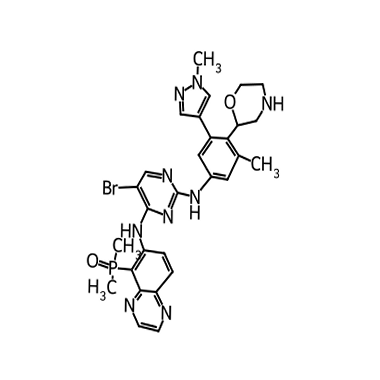 Cc1cc(Nc2ncc(Br)c(Nc3ccc4nccnc4c3P(C)(C)=O)n2)cc(-c2cnn(C)c2)c1C1CNCCO1